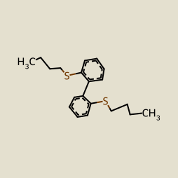 CCCCSc1ccccc1-c1ccccc1SCCCC